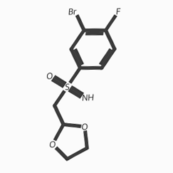 N=S(=O)(CC1OCCO1)c1ccc(F)c(Br)c1